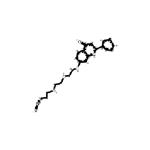 [N-]=[N+]=NCCOCCOCCOc1ccc2c(=O)cc(-c3ccccc3)oc2c1